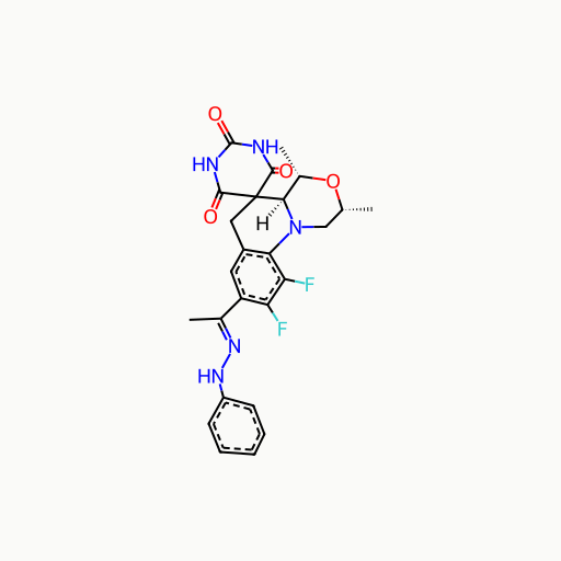 C/C(=N\Nc1ccccc1)c1cc2c(c(F)c1F)N1C[C@@H](C)O[C@@H](C)[C@@H]1C1(C2)C(=O)NC(=O)NC1=O